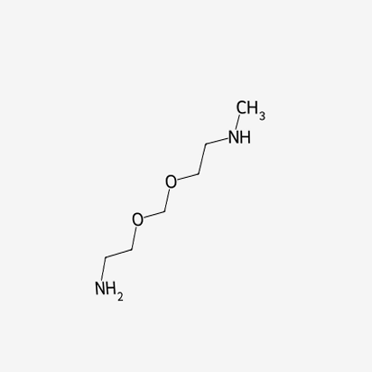 CNCCOCOCCN